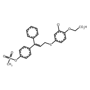 CS(=O)(=O)Oc1ccc(C(=CCSc2ccc(OCC(=O)O)c(Cl)c2)c2ccccc2)cc1